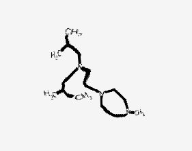 CC(C)CN(CCN1CCN(C)CC1)CC(C)C